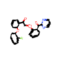 O=C(COc1ccccc1C(=O)c1ncccn1)c1ccccc1Oc1ccccc1F